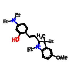 CCN(CC)c1ccc(/C=C/C2=[N+](CC)c3ccc(OC)cc3C2(C)CC)c(O)c1